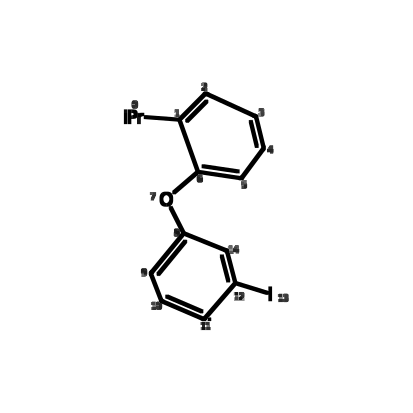 CC(C)c1ccccc1Oc1cc[c]c(I)c1